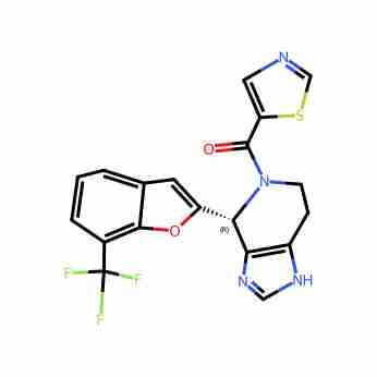 O=C(c1cncs1)N1CCc2[nH]cnc2[C@@H]1c1cc2cccc(C(F)(F)F)c2o1